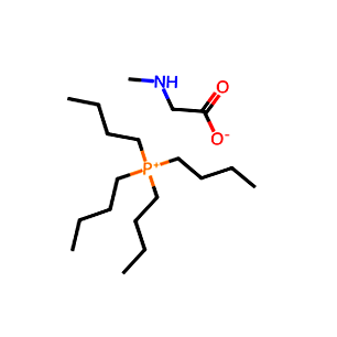 CCCC[P+](CCCC)(CCCC)CCCC.CNCC(=O)[O-]